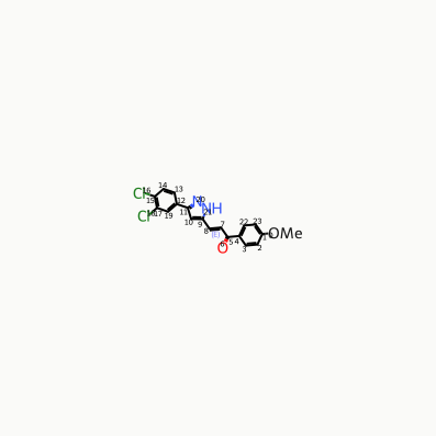 COc1ccc(C(=O)/C=C/c2cc(-c3ccc(Cl)c(Cl)c3)n[nH]2)cc1